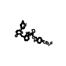 Cn1cc(-n2ccc(=O)c(Cc3cccc(NC(=O)OCC4(F)CCN(C(=O)O)CC4)c3)n2)cn1